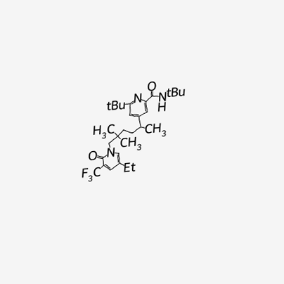 CCc1cc(C(F)(F)F)c(=O)n(CC(C)(C)CCC(C)c2cc(C(=O)NC(C)(C)C)nc(C(C)(C)C)c2)c1